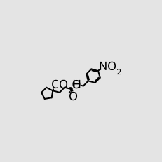 O=C(CCC1(C(=O)O)CCCC1)OCc1ccc([N+](=O)[O-])cc1